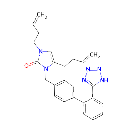 C=CCCc1cn(CCC=C)c(=O)n1Cc1ccc(-c2ccccc2-c2nnn[nH]2)cc1